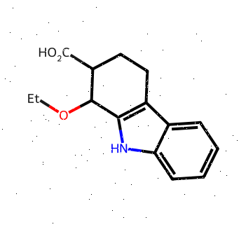 CCOC1c2[nH]c3ccccc3c2CCC1C(=O)O